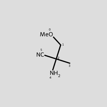 COCC(C)(N)C#N